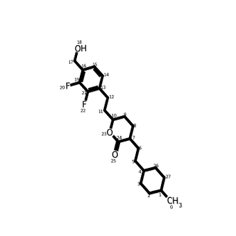 CC1CCC(CCC2CCC(CCc3ccc(CO)c(F)c3F)OC2=O)CC1